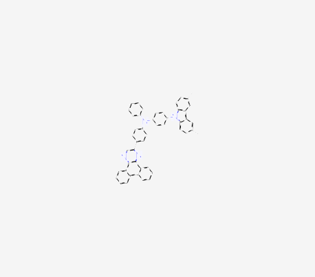 Cc1ccc2c(c1)c1cc(C)ccc1n2-c1ccc(N(c2ccccc2)c2ccc(-c3cnc4c5ccccc5c5ccccc5c4n3)cc2)cc1